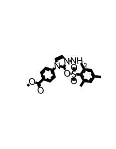 COC(=O)c1ccc(N2C=CN(N)C2OS(=O)(=O)c2c(C)cc(C)cc2C)cc1